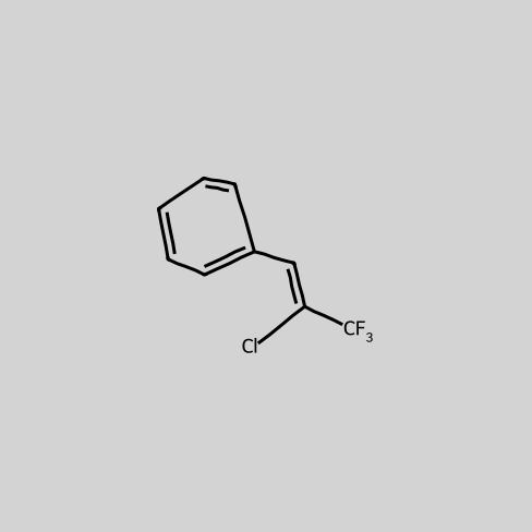 FC(F)(F)C(Cl)=Cc1ccccc1